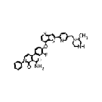 CC1CNCCN1Cc1ccc(-c2cc3nccc(Oc4ccc(-c5ccn(-c6ccccc6)c(=O)c5C(N)=O)cc4F)c3s2)nc1